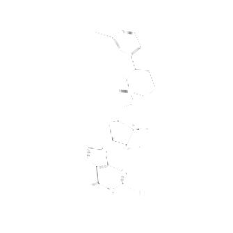 Cc1nc2c(ccn2[C@@H]2O[C@H](COP3(=O)OCCC(c4cccc(Cl)c4)O3)[C@@H](O)[C@@]2(C)O)c(=O)[nH]1